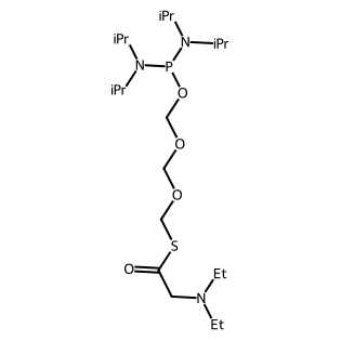 CCN(CC)CC(=O)SCOCOCOP(N(C(C)C)C(C)C)N(C(C)C)C(C)C